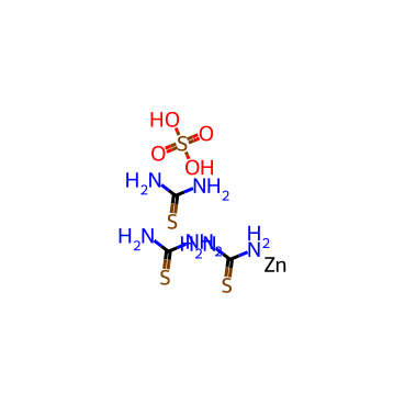 NC(N)=S.NC(N)=S.NC(N)=S.O=S(=O)(O)O.[Zn]